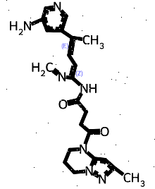 C=N/C(=C\C=C(/C)c1cncc(N)c1)NC(=O)CCC(=O)N1CCCn2nc(C)cc21